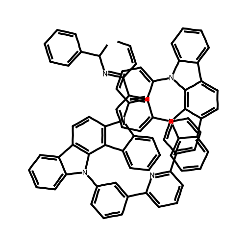 C/C=C\C(=N/C(C)c1ccccc1)c1cccc(-n2c3ccccc3c3ccc4c5ccccc5n(-c5cccc(-n6c7ccccc7c7c6ccc6c8ccccc8n(-c8cccc(-c9cccc(-c%10ccccc%10)n9)c8)c67)c5)c4c32)c1